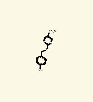 CCOC(=O)c1cnc(NCc2ccc(C#N)cc2)nc1